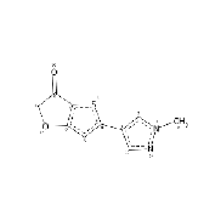 Cn1cc(-c2cc3c(s2)C(=O)CO3)cn1